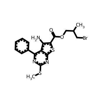 CSc1nc(-c2ccccc2)c2c(N)c(C(=O)OCC(C)CBr)sc2n1